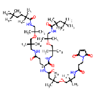 CC(C)(C)CCC(C)(C)C(=O)NCC(C)(C)OCC(C)(C)CNC(=O)CC[C@H](NC(=O)CC(C)(C)COCC(C)(C)CNC(=O)CCN1C(=O)C=CC1=O)C(=O)NCC(C)(C)COC(C)(C)CNC(=O)C(C)(C)CC(C)(C)C